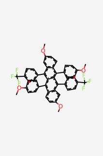 COc1ccc(-c2c3ccc(OC)cc3c(-c3ccc(C(F)(F)F)cc3)c3c(-c4ccc(OC)cc4)c4ccc(OC)cc4c(-c4ccc(C(F)(F)F)cc4)c23)cc1